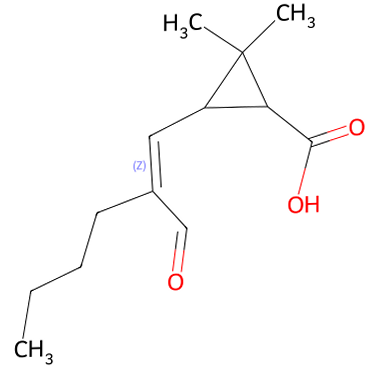 CCCC/C(C=O)=C/C1C(C(=O)O)C1(C)C